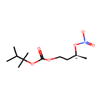 CC(C)C(C)(C)OC(=O)OCC[C@H](C)O[N+](=O)[O-]